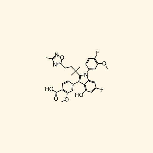 COc1cc(-n2c(C(C)(C)CCc3nc(C)no3)c(-c3ccc(C(=O)O)c(OC)c3)c3c(O)cc(F)cc32)ccc1F